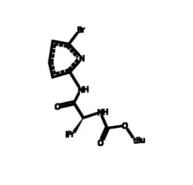 CC(C)[C@@H](NC(=O)OC(C)(C)C)C(=O)Nc1cccc(Br)n1